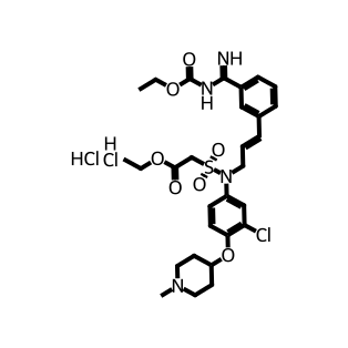 CCOC(=O)CS(=O)(=O)N(C/C=C/c1cccc(C(=N)NC(=O)OCC)c1)c1ccc(OC2CCN(C)CC2)c(Cl)c1.Cl.Cl